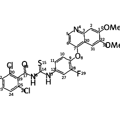 COc1cc2nccc(Oc3ccc(NC(=S)NC(=O)c4c(Cl)cccc4Cl)cc3F)c2cc1OC